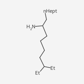 CCCCCCCCC(N)CCCCC(CC)CC